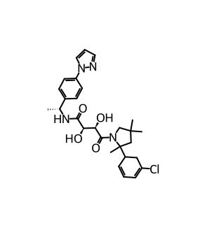 C[C@@H](NC(=O)[C@H](O)[C@@H](O)C(=O)N1CC(C)(C)CC1(C)C1C=CC=C(Cl)C1)c1ccc(-n2cccn2)cc1